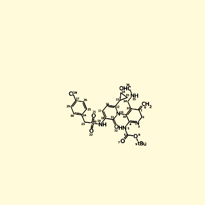 C=C1CN=C(NC(=O)OC(C)(C)C)C(n2c(C3CC3)ccc(NS(=O)(=O)Cc3ccc(Cl)cc3)c2=O)=C1CNC=O